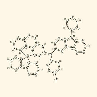 Fc1ccc(N(c2cc3c4c(ccc5cccc(c54)C3(c3ccccc3)c3ccccc3)c2)c2ccc3c(c2)c2ccccc2n3-c2ccccc2)cc1